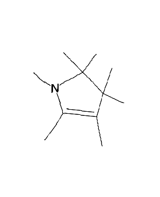 CC1=C(C)C(C)(C)C(C)(C)N1C